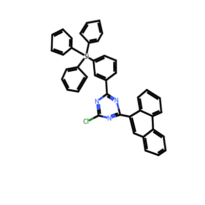 Clc1nc(-c2cccc([Si](c3ccccc3)(c3ccccc3)c3ccccc3)c2)nc(-c2cc3ccccc3c3ccccc23)n1